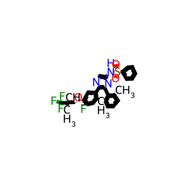 Cc1cccc(C)c1-c1nc(NS(=O)(=O)c2ccccc2)cnc1-c1ccc(F)c(OCC(C)(C)C(F)(F)F)c1